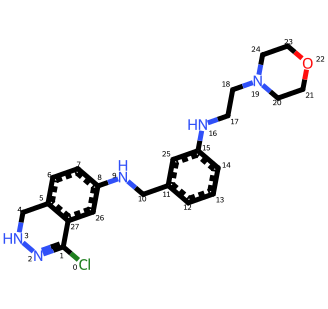 ClC1=NNCc2ccc(NCc3cccc(NCCN4CCOCC4)c3)cc21